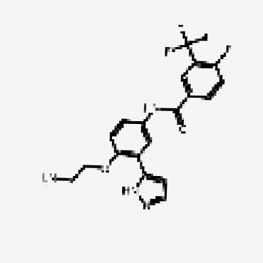 NCCOc1ccc(NC(=O)c2ccc(F)c(C(F)(F)F)c2)cc1-c1ccn[nH]1